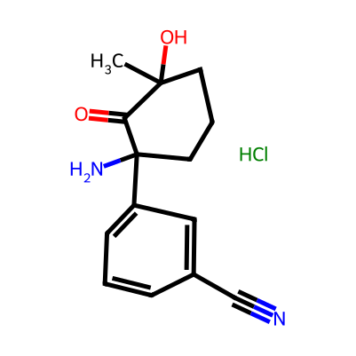 CC1(O)CCCC(N)(c2cccc(C#N)c2)C1=O.Cl